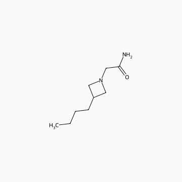 CCCCC1CN(CC(N)=O)C1